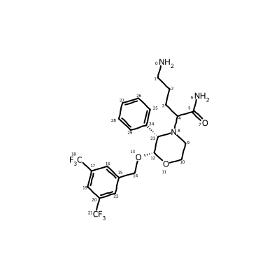 NCCCC(C(N)=O)N1CCO[C@H](OCc2cc(C(F)(F)F)cc(C(F)(F)F)c2)[C@@H]1c1ccccc1